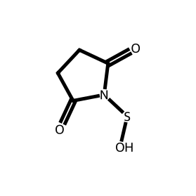 O=C1CCC(=O)N1SO